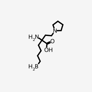 BCCCCC(N)(CCN1CCCC1)C(=O)O